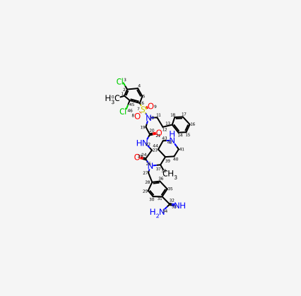 Cc1c(Cl)ccc(S(=O)(=O)N(CCc2ccccc2)CC(=O)NCC(=O)N(Cc2ccc(C(=N)N)cc2)C(C)C2CCNCC2)c1Cl